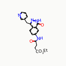 CCOC(=O)CCC(=O)Nc1ccc2c(Cc3cccnc3)n[nH]c(=O)c2c1